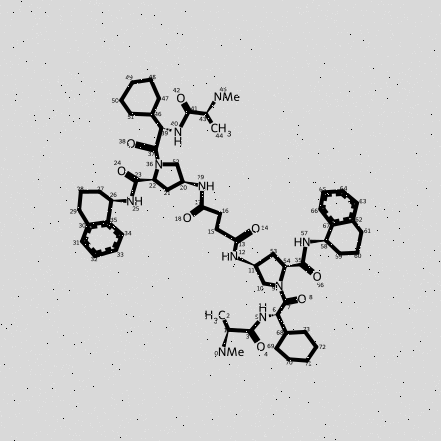 CN[C@@H](C)C(=O)N[C@H](C(=O)N1C[C@@H](NC(=O)CCC(=O)N[C@H]2C[C@@H](C(=O)N[C@@H]3CCCc4ccccc43)N(C(=O)[C@@H](NC(=O)[C@H](C)NC)C3CCCCC3)C2)C[C@H]1C(=O)N[C@@H]1CCCc2ccccc21)C1CCCCC1